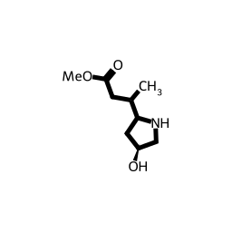 COC(=O)CC(C)C1C[C@H](O)CN1